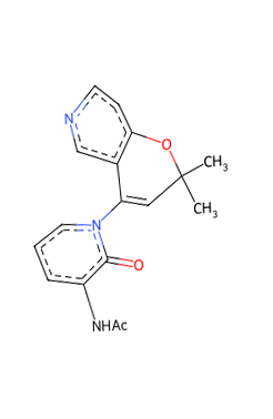 CC(=O)Nc1cccn(C2=CC(C)(C)Oc3ccncc32)c1=O